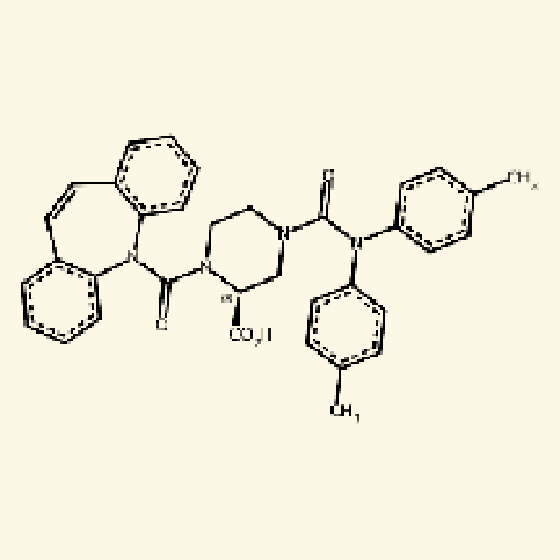 Cc1ccc(N(C(=O)N2CCN(C(=O)N3c4ccccc4C=Cc4ccccc43)[C@H](C(=O)O)C2)c2ccc(C)cc2)cc1